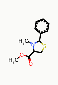 COC(=O)C1CSC(c2ccccc2)N1C